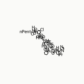 CCCCCC(=O)NS(=O)(=O)c1cc(Cl)cc(S(=O)(=O)NC(=O)CNC(=O)C(=O)C(CC(F)F)NC(=O)C(CC2CCCCC2)NC(=O)C(NC(=O)C(CC(C)C)NC(=O)c2cnccn2)C(C)CC)c1